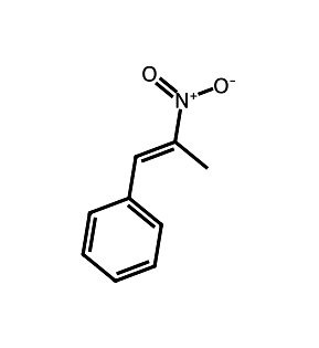 C/C(=C\c1ccccc1)[N+](=O)[O-]